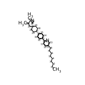 CCCCCCCCCc1ccc(-c2ccc([C@H]3CC[C@](C#N)(CC(C)CC)CC3)cc2)nc1